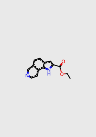 CCOC(=O)c1cc2ccc3cnccc3c2[nH]1